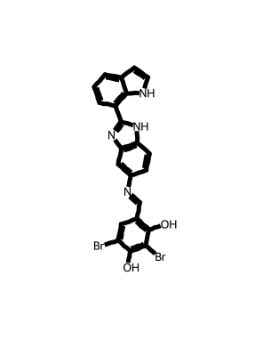 Oc1c(Br)cc(/C=N/c2ccc3[nH]c(-c4cccc5cc[nH]c45)nc3c2)c(O)c1Br